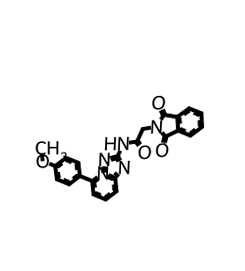 COc1ccc(-c2cccc3nc(NC(=O)CN4C(=O)c5ccccc5C4=O)nn23)cc1